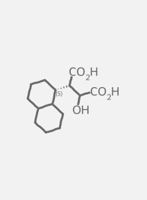 O=C(O)C(O)C(C(=O)O)[C@H]1CCCC2CCCCC21